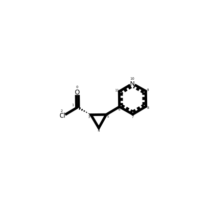 O=C(Cl)[C@H]1CC1c1cccnc1